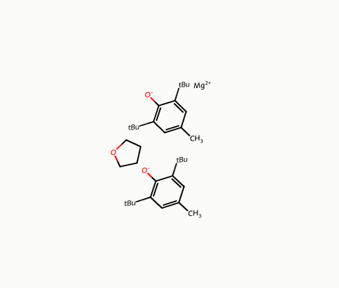 C1CCOC1.Cc1cc(C(C)(C)C)c([O-])c(C(C)(C)C)c1.Cc1cc(C(C)(C)C)c([O-])c(C(C)(C)C)c1.[Mg+2]